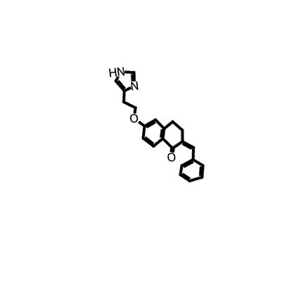 O=C1/C(=C\c2ccccc2)CCc2cc(OCCc3c[nH]cn3)ccc21